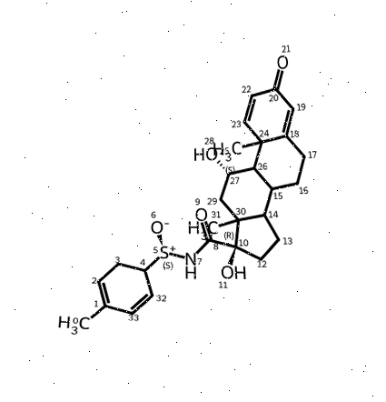 CC1=CCC([S@@+]([O-])NC(=O)[C@@]2(O)CCC3C4CCC5=CC(=O)C=CC5(C)C4[C@@H](O)CC32C)C=C1